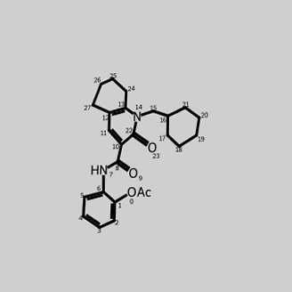 CC(=O)Oc1ccccc1NC(=O)c1cc2c(n(CC3CCCCC3)c1=O)CCCC2